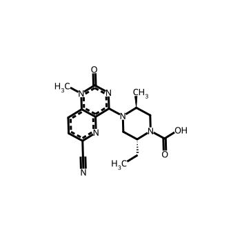 CC[C@@H]1CN(c2nc(=O)n(C)c3ccc(C#N)nc23)[C@@H](C)CN1C(=O)O